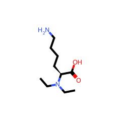 CCN(CC)[C@@H](CCCCN)C(=O)O